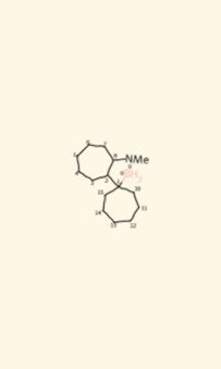 BC1(C2CCCCCC2NC)CCCCCC1